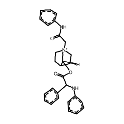 O=C(C[N+]12CCC(CC1)[C@@H](OC(=O)C(Nc1ccccc1)c1ccccc1)C2)Nc1ccccc1